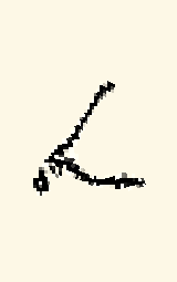 CCCCCCCCCCCCCCCCCC(=O)C[C@H](COCc1ccccc1)C(=O)CCCCCCCCCCCCCCCCC